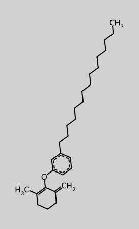 C=C1CCCC(C)=C1Oc1cccc(CCCCCCCCCCCCCCC)c1